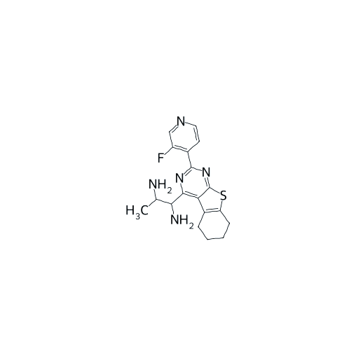 CC(N)C(N)c1nc(-c2ccncc2F)nc2sc3c(c12)CCCC3